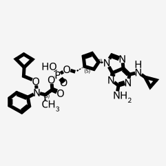 C[C@@H](C(=O)OP(=O)(O)OC[C@@H]1C=C[C@H](n2cnc3c(NC4CC4)nc(N)nc32)C1)N(OCC1CCC1)c1ccccc1